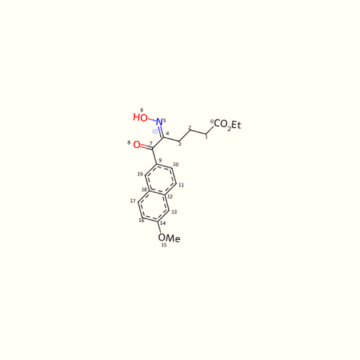 CCOC(=O)CCC/C(=N/O)C(=O)c1ccc2cc(OC)ccc2c1